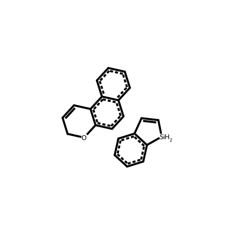 C1=Cc2c(ccc3ccccc23)OC1.C1=Cc2ccccc2[SiH2]1